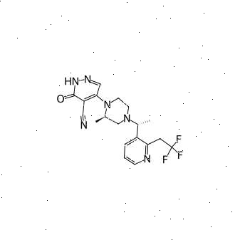 C[C@H](c1cccnc1CC(F)(F)F)N1CCN(c2cn[nH]c(=O)c2C#N)[C@H](C)C1